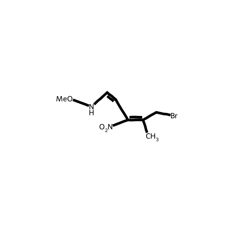 CON/C=C\C(=C(\C)CBr)[N+](=O)[O-]